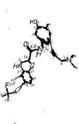 Cc1cc(C#CCN(C)C)c(NC(=O)C2CNc3cc(OC(C)(F)F)ccc3O2)cc1O